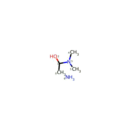 CC(O)N(C)C.N